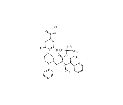 COC(=O)c1cc(F)c(N2CCC(c3ccccc3)C(CN(C(=O)OC(C)(C)C)[C@H](C)c3cccc4ccccc34)C2)c(F)c1